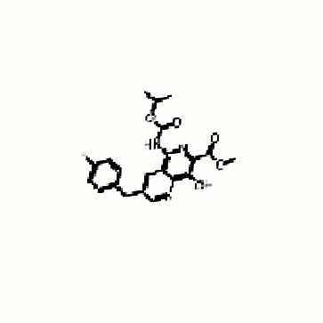 COC(=O)c1nc(NC(=O)OC(C)C)c2cc(Cc3ccc(F)cc3)cnc2c1O